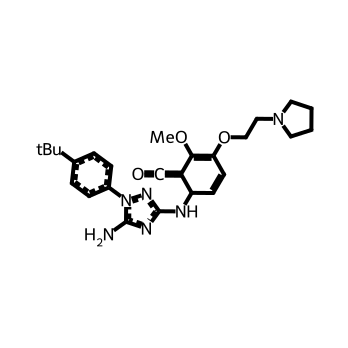 COC1=C(OCCN2CCCC2)C=CC(Nc2nc(N)n(-c3ccc(C(C)(C)C)cc3)n2)C1=C=O